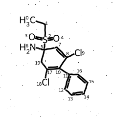 CCS(=O)(=O)C1(N)C=C(Cl)C(c2ccccc2)=C(Cl)C1